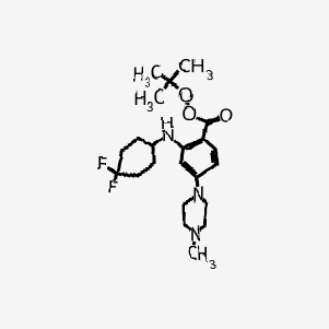 CN1CCN(c2ccc(C(=O)OOC(C)(C)C)c(NC3CCC(F)(F)CC3)c2)CC1